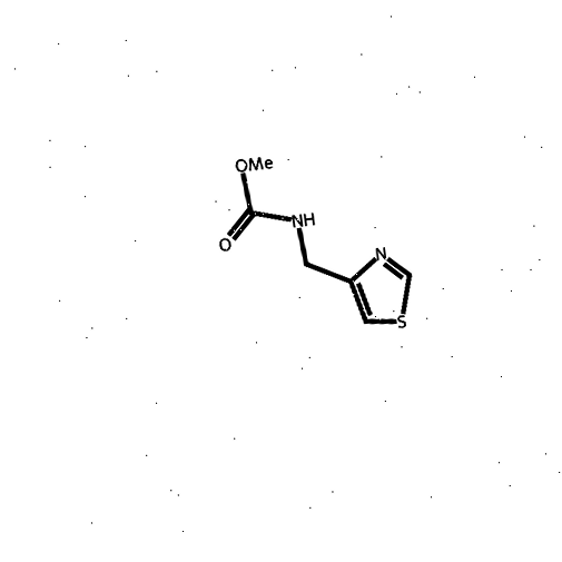 COC(=O)NCc1cscn1